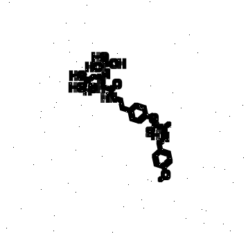 COc1ccc(C=NN(C)[PH](=S)Oc2ccc(CCNC(=O)CN(C[PH](O)(O)O)C[PH](O)(O)O)cc2)cc1